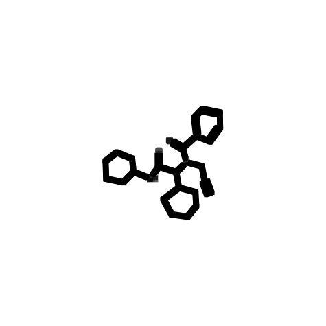 C#CCN(C(=O)c1ccccc1)C(C(=O)NC1CCCCC1)C1CCCCC1